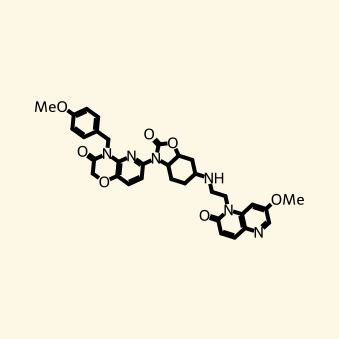 COc1ccc(CN2C(=O)COc3ccc(N4C(=O)OC5CC(NCCn6c(=O)ccc7ncc(OC)cc76)CCC54)nc32)cc1